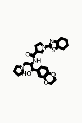 O=C(NC(CN1CCCC1)C(O)c1ccc2c(c1)OCCO2)C1CCN(c2nc3c(s2)CCCC3)C1